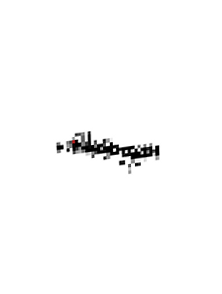 CC(C)(CO)COc1ccc(-c2ccc(S(=O)(=O)c3ccc(-c4ccc(OCC(C)(C)CO)cc4)cc3)cc2)cc1